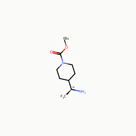 CC(C)(C)OC(=O)N1CCC([C@@H](N)C(F)(F)F)CC1